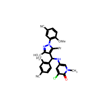 COc1ccc(C#N)cc1-n1nc(C(=O)O)c(C(Nc2cc(Cl)c(=O)n(C)c2)c2ccc(C#N)cc2C)c1C(C)C